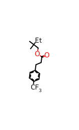 CCC(C)(C)COC(=O)CCc1ccc(C(F)(F)F)cc1